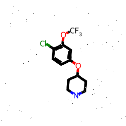 FC(F)(F)Oc1cc(OC2CC[N]CC2)ccc1Cl